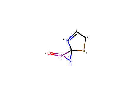 O=[PH]1NC12N=CCS2